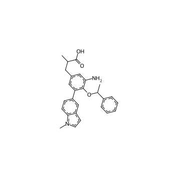 CC(Cc1cc(N)c(OC(C)c2ccccc2)c(-c2ccc3c(ccn3C)c2)c1)C(=O)O